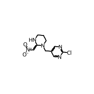 O=[N+]([O-])C=C1NCCCN1Cc1cnc(Cl)nc1